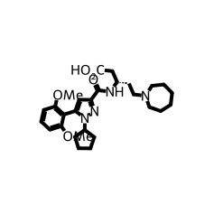 COc1cccc(OC)c1-c1cc(C(=O)N[C@@H](CCN2CCCCCC2)CC(=O)O)nn1C1CCCC1